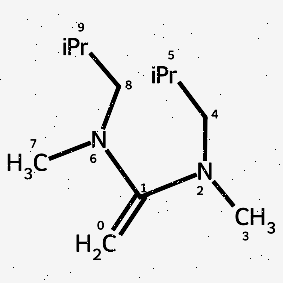 C=C(N(C)CC(C)C)N(C)CC(C)C